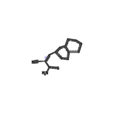 N#C/C(=C/c1ccc2ccccc2c1)C(N)=S